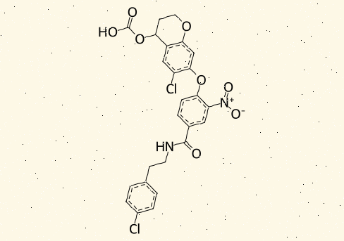 O=C(O)OC1CCOc2cc(Oc3ccc(C(=O)NCCc4ccc(Cl)cc4)cc3[N+](=O)[O-])c(Cl)cc21